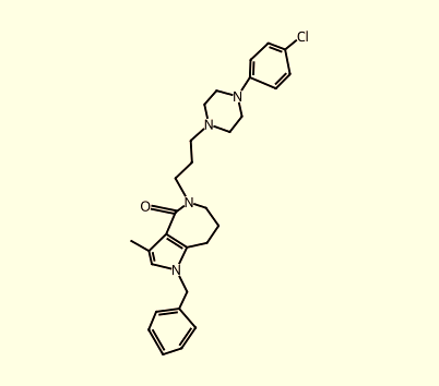 Cc1cn(Cc2ccccc2)c2c1C(=O)N(CCCN1CCN(c3ccc(Cl)cc3)CC1)CCC2